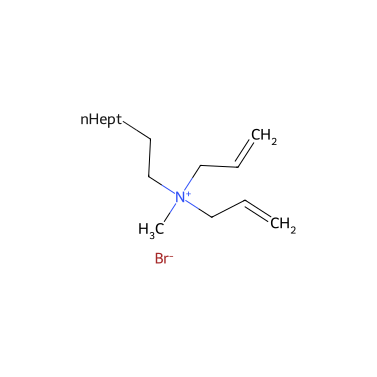 C=CC[N+](C)(CC=C)CCCCCCCCC.[Br-]